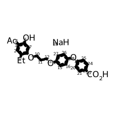 CCc1cc(C(C)=O)c(O)cc1OCCCOc1ccc(Oc2ccc(C(=O)O)cc2)cc1.[NaH]